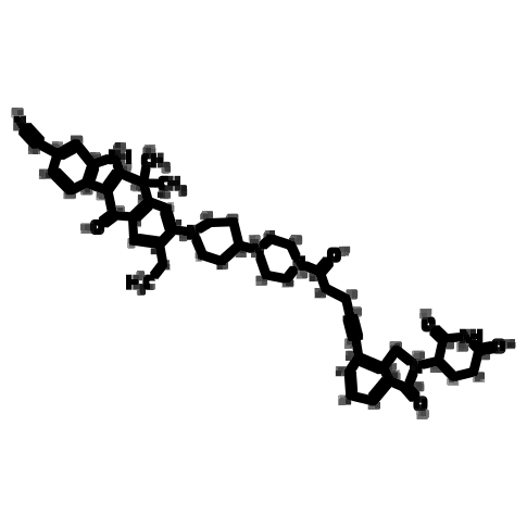 CCc1cc2c(cc1N1CCC(N3CCN(C(=O)CCC#Cc4cccc5c4CN(C4CCC(=O)NC4=O)C5=O)CC3)CC1)C(C)(C)c1[nH]c3cc(C#N)ccc3c1C2=O